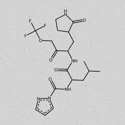 CC(C)CC(NC(=O)n1cccn1)C(=O)NC(CC1CCNC1=O)C(=O)COC(F)(F)F